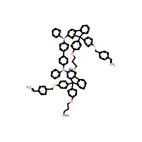 C=Cc1ccc(CSc2ccc(C3(c4ccc(OCCCOC)cc4)c4ccccc4-c4ccc(N(c5ccccc5)c5ccc(-c6ccc(N(c7ccccc7)c7ccc8c(c7)C(c7ccc(OCCCOC)cc7)(c7ccc(SCc9ccc(C=C)cc9)cc7)c7ccccc7-8)cc6)cc5)cc43)cc2)cc1